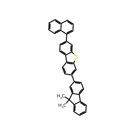 CC1(C)c2ccccc2-c2ccc(-c3ccc4c(c3)sc3cc(-c5cccc6ccccc56)ccc34)cc21